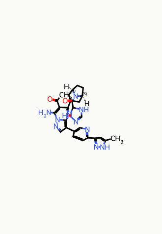 CC(=O)c1c(C2C[C@H]3CC[C@@H](C2)N3C(=O)C2NC=NN2)nc2c(-c3ccc(-c4cc(C)[nH]n4)nc3)cnn2c1N